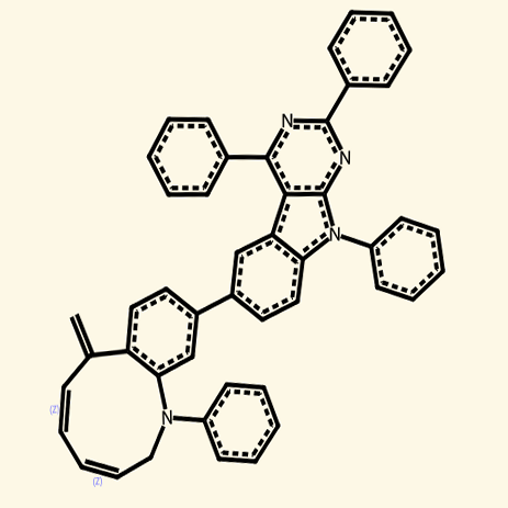 C=C1/C=C\C=C/CN(c2ccccc2)c2cc(-c3ccc4c(c3)c3c(-c5ccccc5)nc(-c5ccccc5)nc3n4-c3ccccc3)ccc21